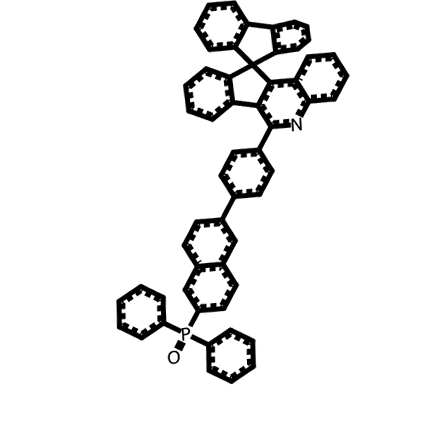 O=P(c1ccccc1)(c1ccccc1)c1ccc2cc(-c3ccc(-c4nc5ccccc5c5c4-c4ccccc4C54c5ccccc5-c5ccccc54)cc3)ccc2c1